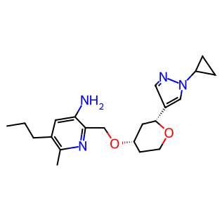 CCCc1cc(N)c(CO[C@H]2CCO[C@@H](c3cnn(C4CC4)c3)C2)nc1C